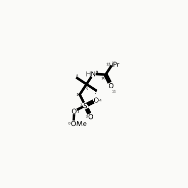 COOS(=O)(=O)CC(C)(C)NC(=O)C(C)C